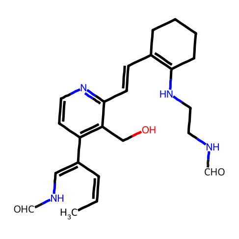 C/C=C\C(=C/NC=O)c1ccnc(/C=C/C2=C(NCCNC=O)CCCC2)c1CO